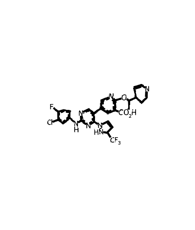 CC(Oc1ncc(-c2cnc(Nc3ccc(F)c(Cl)c3)nc2N2C=CC(C(F)(F)F)N2)cc1C(=O)O)C1C=CN=CC1